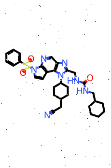 N#CCC1CCC(n2c(CNC(=O)NCC3CCCCC3)nc3cnc4c(ccn4S(=O)(=O)c4ccccc4)c32)CC1